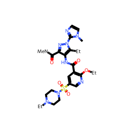 CCOc1ncc(S(=O)(=O)N2CCN(CC)CC2)cc1C(=O)Nc1c(C(=O)NC)nn(-c2nccn2C)c1CC